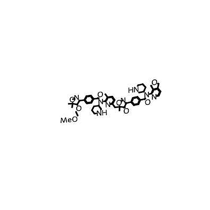 COCCOC1C(c2ccc(C(=O)N(c3nc(CC4(C)ON=C(c5ccc(C(=O)N(c6nccc7c6COC7)C6CCCNC6)cc5)C4=O)ccc3C)C3CCCNC3)cc2)=NOC1(C)C